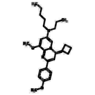 CCCCCN(CCC)C1=CN2C(=NC(c3ccc(OC)cc3)=CC2=C2CCC2)C(OC)=C1